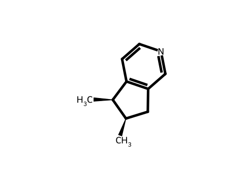 C[C@@H]1Cc2cnccc2[C@@H]1C